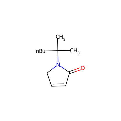 CCCCC(C)(C)N1CC=CC1=O